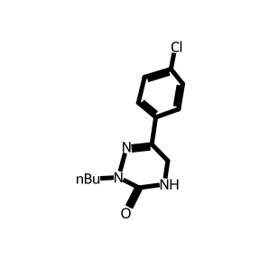 CCCCN1N=C(c2ccc(Cl)cc2)CNC1=O